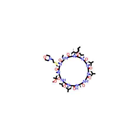 C/C=C/C[C@@H](C)C[C@H]1C(=O)N[C@@H](CC)C(=O)N(C)[C@H](CSCCN2CCOCC2)C(=O)N(C)[C@@H](CC(C)(C)OC)C(=O)N[C@H](C(C)C)C(=O)N(C)[C@H](CC(C)C)C(=O)N[C@H](C)C(=O)N[C@@H](C)C(=O)N(C)[C@@H](CC(C)C)C(=O)N(C)[C@@H](CC(C)C)C(=O)N(C)[C@@H](C(C)C)C(=O)N1C